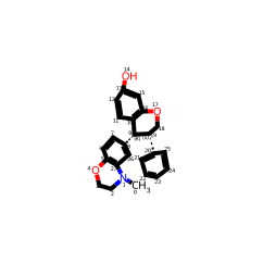 CN1CCOc2ccc([C@@H]3c4ccc(O)cc4OC[C@@H]3c3ccccc3)cc21